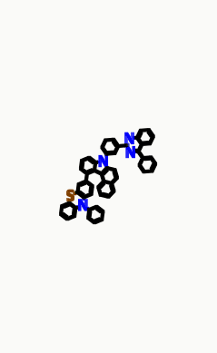 C1=CCCC(c2nc(C3=CCCC(n4c5cccc(-c6ccc7c(c6)Sc6ccccc6N7c6ccccc6)c5c5c6ccccc6ccc54)=C3)nc3ccccc23)=C1